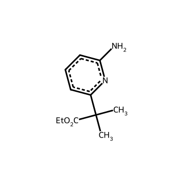 CCOC(=O)C(C)(C)c1cccc(N)n1